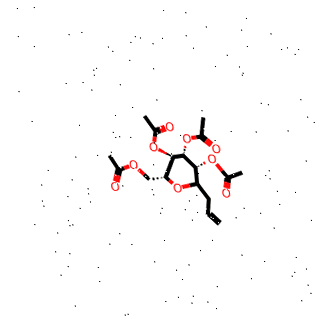 C=CCC1O[C@H](COC(C)=O)[C@@H](OC(C)=O)[C@H](OC(C)=O)[C@@H]1OC(C)=O